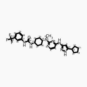 CN(c1nccc(Nc2cc(C3CCCC3)[nH]n2)n1)[C@H]1CC[C@H](NC(=O)Nc2cccc(C(F)(F)F)c2)CC1